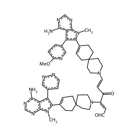 COc1ccc(-c2c(C3=CCC4(CC3)CCN(C=CC(=O)C(=CC=O)N3CCC5(CC=C(c6c(-c7ccnnc7)c7c(N)ncnc7n6C)CC5)CC3)CC4)n(C)c3ncnc(N)c23)cn1